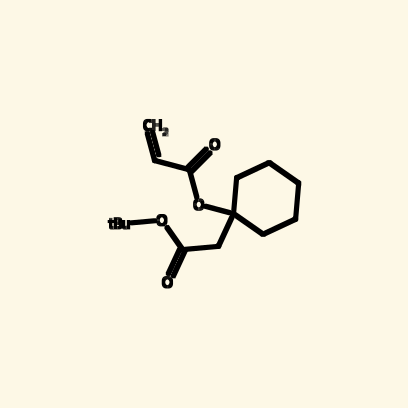 C=CC(=O)OC1(CC(=O)OC(C)(C)C)CCCCC1